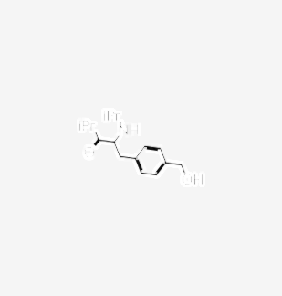 CC(C)NC(Cc1ccc(CO)cc1)C(=O)C(C)C